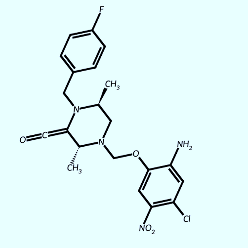 C[C@@H]1C(=C=O)N(Cc2ccc(F)cc2)[C@@H](C)CN1COc1cc([N+](=O)[O-])c(Cl)cc1N